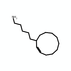 NCCCCCC1/C=C\CCCCCCCC1